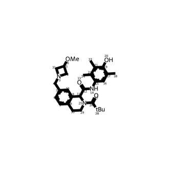 COC1CN(Cc2ccc3c(c2)C(C(=O)Nc2cc(C)c(O)c(C)c2C)N(C(=O)C(C)(C)C)CC3)C1